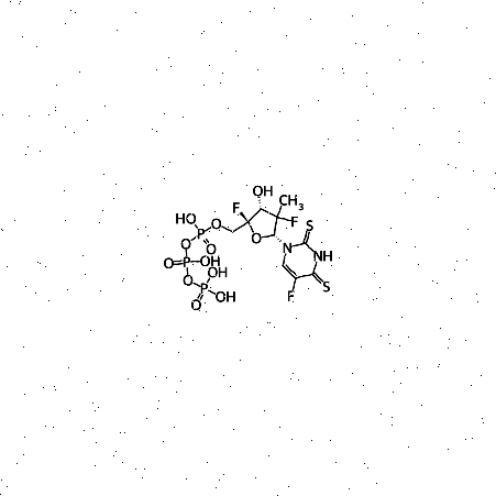 CC1(F)[C@@H](O)[C@@](F)(COP(=O)(O)OP(=O)(O)OP(=O)(O)O)O[C@H]1n1cc(F)c(=S)[nH]c1=S